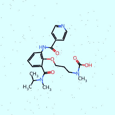 CC(C)N(C)C(=O)c1cccc(NC(=O)c2ccncc2)c1OCCCN(C)C(=O)O